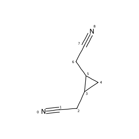 N#CCC1CC1CC#N